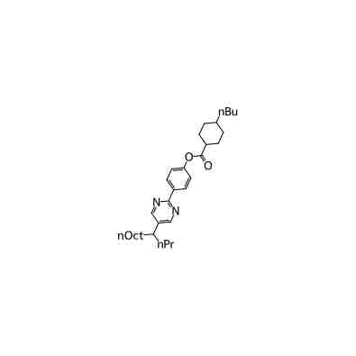 CCCCCCCCC(CCC)c1cnc(-c2ccc(OC(=O)C3CCC(CCCC)CC3)cc2)nc1